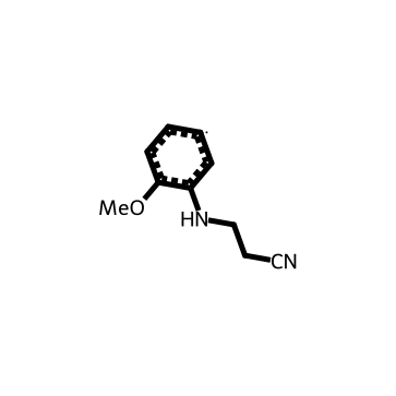 COc1cc[c]cc1NCCC#N